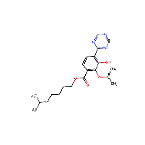 CC(C)CCCCCOC(=O)c1ccc(-c2ncncn2)c(O)c1OC(C)C